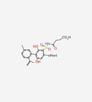 C=C(C)c1ccc(C)cc1-c1c(O)cc(CCCCC)c(S(=O)(=O)NC(=O)CCC(=O)O)c1O